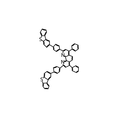 c1ccc(-c2cc(-c3ccc(-c4ccc5sc6ccccc6c5c4)cc3)nc3c2ccc2c(-c4ccccc4)cc(-c4ccc(-c5ccc6sc7ccccc7c6c5)cc4)nc23)cc1